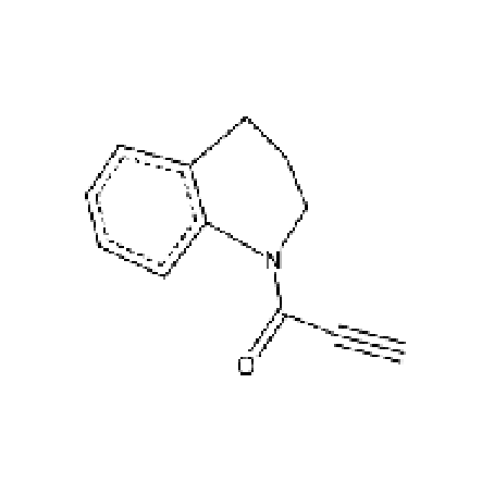 C#CC(=O)N1CCCc2ccccc21